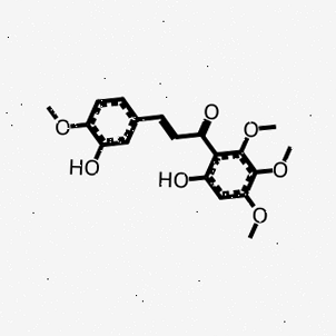 COc1ccc(C=CC(=O)c2c(O)cc(OC)c(OC)c2OC)cc1O